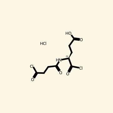 Cl.O=C(O)CC[C@H](NC(=O)CCC(=O)Cl)C(=O)Cl